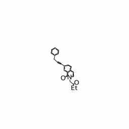 CCC(=O)Cn1ccc2ccc(C#CCc3ccccc3)cc2c1=O